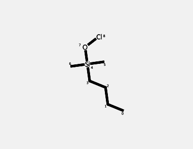 CCCC[Si](C)(C)OCl